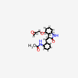 CC(=O)Nc1ccccc1C=C1C(=O)Nc2cccc(OCC3CO3)c21